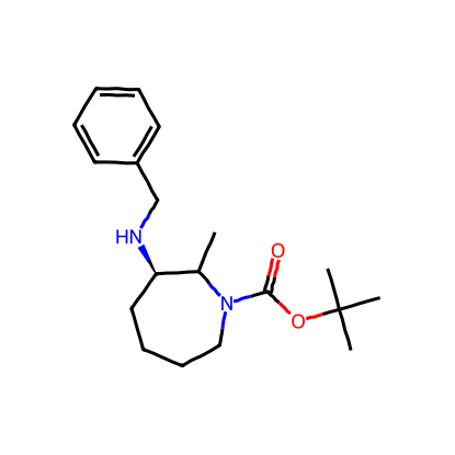 CC1[C@H](NCc2ccccc2)CCCCN1C(=O)OC(C)(C)C